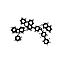 c1ccc(-c2ccc(N(c3ccc(-c4ccc(N(c5ccccc5)c5ccc6c(c5)c5ccccc5n6-c5ccccc5)c5ccccc45)cc3)c3cccc4ccccc34)cc2)cc1